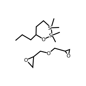 C(OCC1CO1)C1CO1.CCCC1CC[Si](C)(C)[Si](C)(C)O1